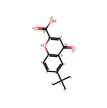 CC(C)(C)c1ccc2oc(C(=O)O)cc(=O)c2c1